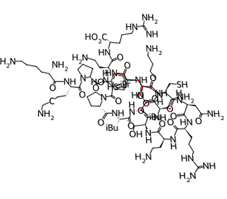 CC[C@H](C)[C@H](NC(=O)[C@@H](NC(=O)[C@@H]1CCCN1C(=O)[C@@H](NC(=O)[C@@H]1CCCN1C(=O)[C@H](CCCCN)NC(=O)[C@@H](N)CCCCN)C(C)C)[C@@H](C)CC)C(=O)N[C@@H](Cc1ccc(O)cc1)C(=O)N[C@@H](CS)C(=O)N[C@@H](CC(N)=O)C(=O)N[C@@H](CCCNC(=N)N)C(=O)N[C@@H](CCN)C(=O)N[C@H](C(=O)N[C@H](CCN)C(=O)N[C@@H](CCCCN)C(=O)N[C@@H](CS)C(=O)N[C@@H](CCN)C(=O)N[C@@H](CCCNC(=N)N)C(=O)O)[C@@H](C)O